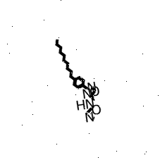 CCCCCCCCCCc1ccc(-c2noc(CNC(=O)CN(C)C)n2)cc1